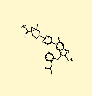 Cc1nc2cc(F)c(-c3cnc(N4CC[C@@]5(C(=O)O)C[C@H]5C4)nc3)cn2c1Cc1ccccc1OC(F)F